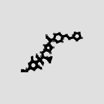 COc1cc(C)c(S(=O)(=O)N(Cc2cc(C(=O)N3CCN(CCN4CCCC4)CC3)co2)C2CC2)c(C)c1